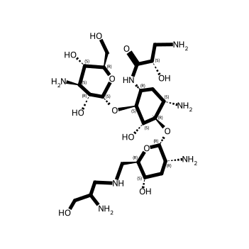 NC[C@H](O)C(=O)N[C@@H]1C[C@H](N)[C@@H](O[C@H]2O[C@H](CNCC(N)CO)[C@@H](O)C[C@H]2N)[C@H](O)[C@H]1O[C@H]1O[C@H](CO)[C@@H](O)[C@H](N)[C@H]1O